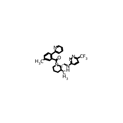 Cc1ccc(-c2ccccn2)c(C(=O)N2CCCC(C)[C@H]2CNc2ccc(C(F)(F)F)nn2)c1